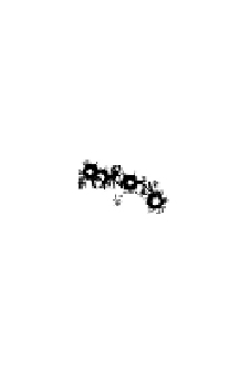 C[N+](C)(Cc1ccc(NC(=O)C2=Cc3cccc(F)c3OC2)cc1)C1CCCCC1.[I-]